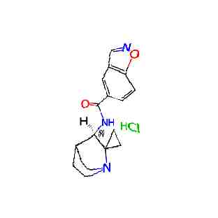 Cl.O=C(N[C@@H]1C2CCN(CC2)C12CC2)c1ccc2oncc2c1